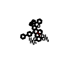 CC1(C)CCC(C)(C)c2cc(N(c3ccc(-c4ccccc4)cc3)c3ccc4c(c3-c3ccccc3)Oc3ccccc3C43C4CC5CC(C4)C3C5)ccc21